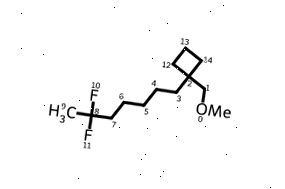 COCC1(CCCCCC(C)(F)F)CCC1